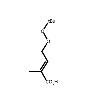 C/C(=C\COOC(C)(C)C)C(=O)O